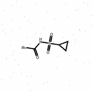 CCC(C)C(=O)NS(=O)(=O)C1CC1